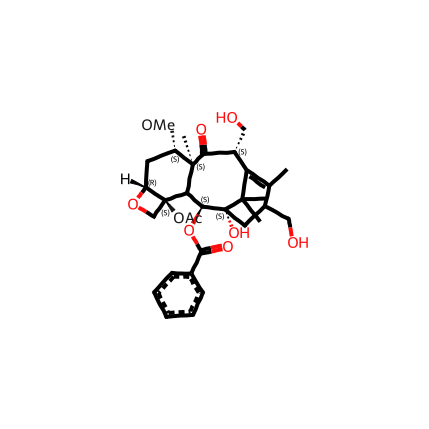 CO[C@H]1C[C@H]2OC[C@@]2(OC(C)=O)C2[C@H](OC(=O)c3ccccc3)[C@]3(O)CC(CO)C(C)=C([C@@H](CO)C(=O)[C@@]21C)C3(C)C